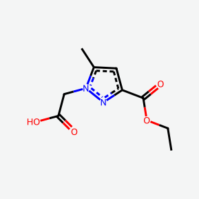 CCOC(=O)c1cc(C)n(CC(=O)O)n1